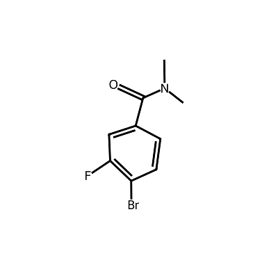 CN(C)C(=O)c1ccc(Br)c(F)c1